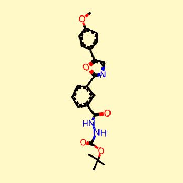 COc1ccc(-c2cnc(-c3cccc(C(=O)NNC(=O)OC(C)(C)C)c3)o2)cc1